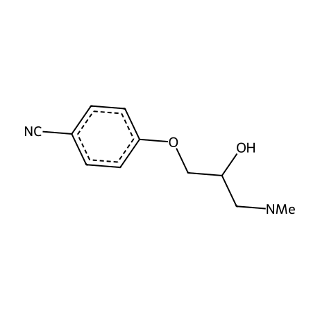 CNCC(O)COc1ccc(C#N)cc1